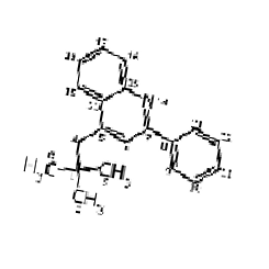 CC(C)(C)Cc1cc(-c2ccccc2)nc2ccccc12